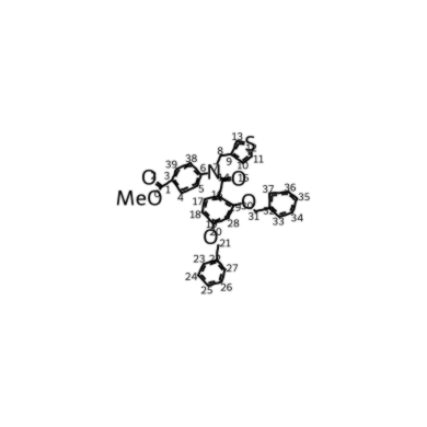 COC(=O)c1ccc(N(Cc2ccsc2)C(=O)c2ccc(OCc3ccccc3)cc2OCc2ccccc2)cc1